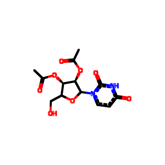 CC(=O)O[C@@H]1C(CO)OC(n2ccc(=O)[nH]c2=O)[C@@H]1OC(C)=O